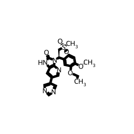 CCOc1cc([C@H](CS(C)(=O)=O)n2c(=O)[nH]c3cc(-c4cncnc4)cnc32)ccc1OC